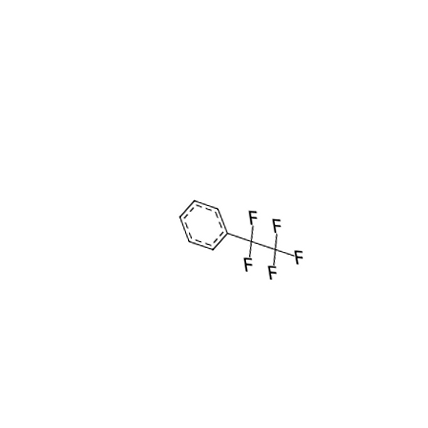 FC(F)(F)C(F)(F)c1ccccc1